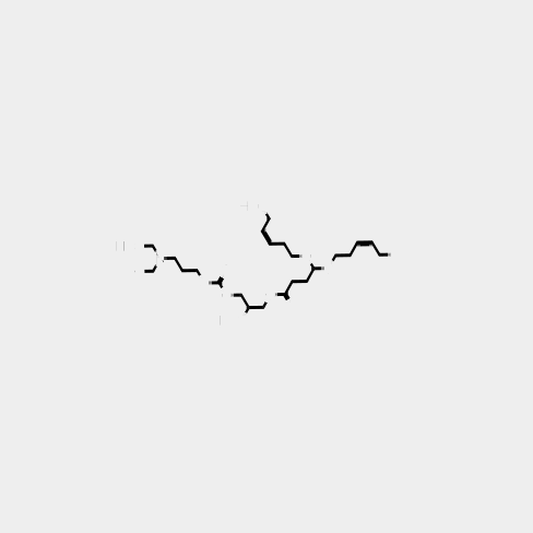 [CH2]C(COC(=O)CCC(OCC/C=C\CC)OCC/C=C\CC)COC(=O)OCCCN(CC)CC